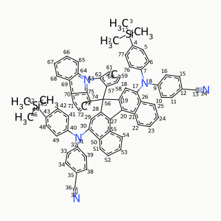 C[Si](C)(C)c1ccc(N(c2ccc(C#N)cc2)c2cc3c(c4ccccc24)-c2c(cc(N(c4ccc(C#N)cc4)c4ccc([Si](C)(C)C)cc4)c4ccccc24)C32c3ccccc3-n3c4ccccc4c4cccc2c43)cc1